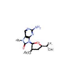 CCCCn1c(=O)n(C2OC([C@@H](OC(C)=O)C(F)(F)F)CC2OC(C)=O)c2nc(N)ncc21